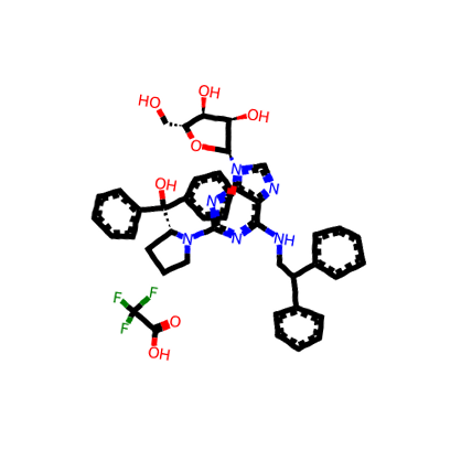 O=C(O)C(F)(F)F.OC[C@H]1O[C@@H](n2cnc3c(NCC(c4ccccc4)c4ccccc4)nc(N4CCC[C@@H]4C(O)(c4ccccc4)c4ccccc4)nc32)[C@H](O)[C@@H]1O